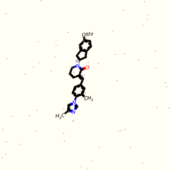 COc1ccc2c(c1)C[C@@H](N1CCC/C(=C\c3ccc(-n4cnc(C)c4)c(C)c3)C1=O)C2